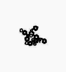 COc1ccc(C(CCN(Cc2ccccc2)CC(O)c2ccc(OCc3ccccc3)c(NS(=O)(=O)c3ccccc3)c2)c2ccc(OC)cc2)cc1